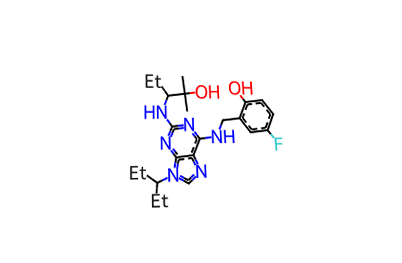 CCC(CC)n1cnc2c(NCc3cc(F)ccc3O)nc(NC(CC)C(C)(C)O)nc21